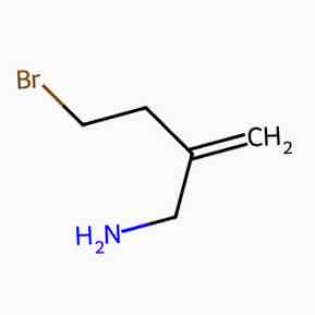 C=C(CN)CCBr